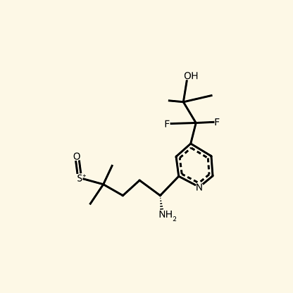 CC(C)(CC[C@@H](N)c1cc(C(F)(F)C(C)(C)O)ccn1)[S+]=O